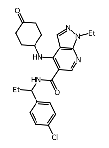 CCC(NC(=O)c1cnc2c(cnn2CC)c1NC1CCC(=O)CC1)c1ccc(Cl)cc1